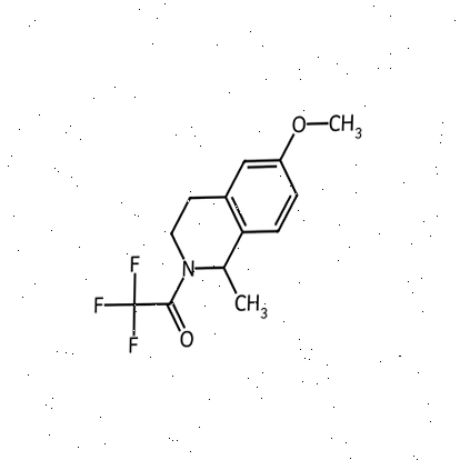 COc1ccc2c(c1)CCN(C(=O)C(F)(F)F)C2C